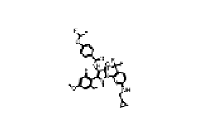 COc1cc(F)c(-c2c(NC(=O)c3ccc(OC(F)F)cc3)c(=O)n(-c3nc(NCC4CC4)ccc3C(F)(F)F)n2C)c(F)c1